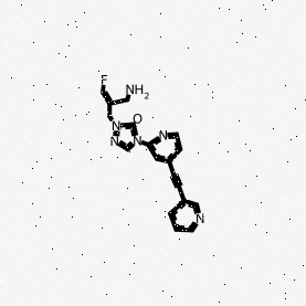 NC/C(=C\F)Cn1ncn(-c2cc(C#Cc3cccnc3)ccn2)c1=O